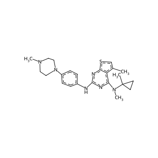 Cc1csc2nc(Nc3ccc(N4CCN(C)CC4)cc3)nc(N(C)C3(C)CC3)c12